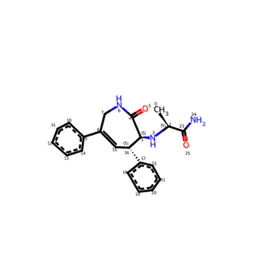 C[C@H](N[C@@H]1C(=O)NCC(c2ccccc2)=C[C@H]1c1ccccc1)C(N)=O